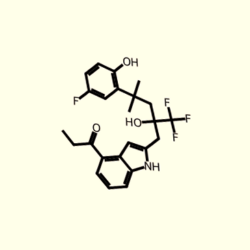 CCC(=O)c1cccc2[nH]c(CC(O)(CC(C)(C)c3cc(F)ccc3O)C(F)(F)F)cc12